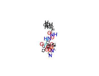 COc1ccc(C(OC[C@H]2O[C@@H](c3cc(CNC(=O)CNC(=O)CC[C@@H](C)C4CC[C@@H]5C6CC[C@H]7CCCC[C@@]7(C)[C@@H]6CC[C@@]45C)c(F)cc3F)[C@@H](O[Si](C)(C)C(C)(C)C)C2OP(OCCCC#N)N(C(C)C)C(C)C)(c2ccccc2)c2ccccc2)cc1